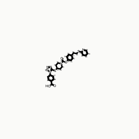 O=C(O)c1ccc(-n2nnnc2SC2CCN(C(=O)Oc3ccc(CCSc4ccccn4)cc3)CC2)cc1